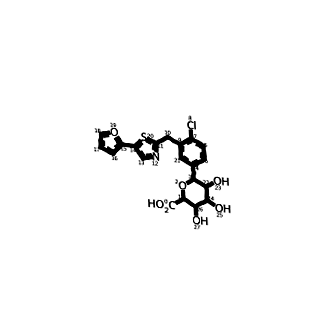 O=C(O)C1OC(c2ccc(Cl)c(Cc3ncc(-c4ccco4)s3)c2)C(O)C(O)C1O